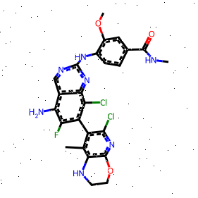 CNC(=O)c1ccc(Nc2ncc3c(N)c(F)c(-c4c(Cl)nc5c(c4C)NCCO5)c(Cl)c3n2)c(OC)c1